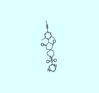 CC#Cc1cc(C)c(C2C(=O)CC3(CCN(S(=O)(=O)c4cnccn4)CC3)CC2=O)c(C)c1